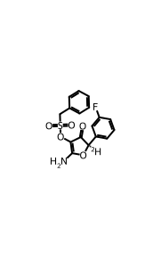 [2H][C@]1(c2cccc(F)c2)OC(N)=C(OS(=O)(=O)Cc2ccccc2)C1=O